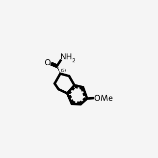 COc1ccc2c(c1)C[C@@H](C(N)=O)CC2